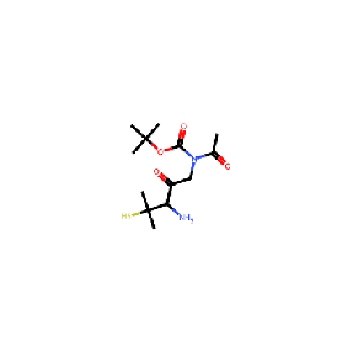 CC(=O)N(CC(=O)[C](N)C(C)(C)S)C(=O)OC(C)(C)C